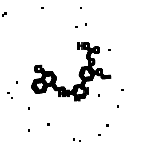 CCOc1cc(-c2cc(NCCc3ccc(Cl)c4ccccc34)ncn2)ccc1OCC(=O)O